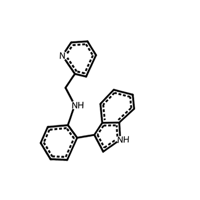 c1ccc(CNc2ccccc2-c2c[nH]c3ccccc23)nc1